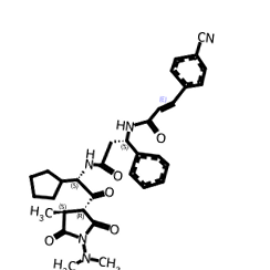 C[C@@H]1C(=O)N(N(C)C)C(=O)[C@H]1C(=O)[C@@H](NC(=O)C[C@H](NC(=O)/C=C/c1ccc(C#N)cc1)c1ccccc1)C1CCCC1